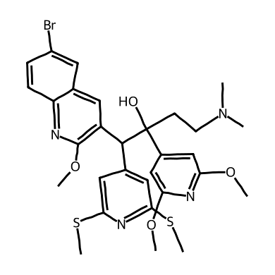 COc1cc(C(O)(CCN(C)C)C(c2cc(SC)nc(SC)c2)c2cc3cc(Br)ccc3nc2OC)cc(OC)n1